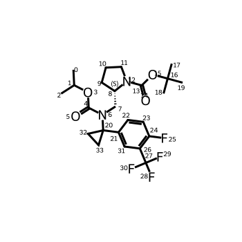 CC(C)OC(=O)N(C[C@@H]1CCCN1C(=O)OC(C)(C)C)C1(c2ccc(F)c(C(F)(F)F)c2)CC1